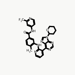 Cc1ccc(C(=O)Nc2ccnc(C(F)(F)F)c2)cc1Nc1ncccc1-c1ncnc2c1ncn2C1CCCCO1